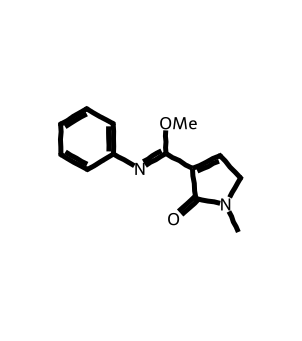 CO/C(=N\c1ccccc1)C1=CCN(C)C1=O